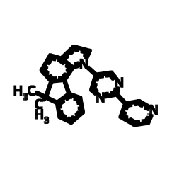 CC1(C)c2ccccc2-c2c1ccc1ccn(-c3cnc(-c4cccnc4)nc3)c21